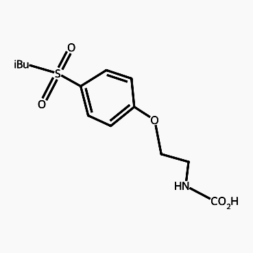 CCC(C)S(=O)(=O)c1ccc(OCCNC(=O)O)cc1